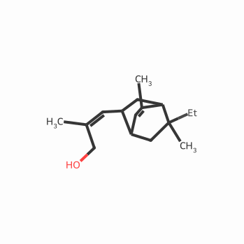 CCC1(C)CC2C=C(C)C1CC2C=C(C)CO